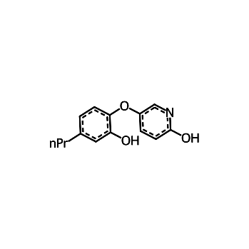 CCCc1ccc(Oc2ccc(O)nc2)c(O)c1